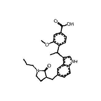 CCCN1CCC(Cc2ccc3[nH]cc(C(C)c4ccc(C(=O)O)cc4OC)c3c2)C1=O